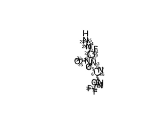 O=c1n(Cc2ccc(-c3nnc(C(F)F)o3)cn2)c2cc(F)c(N3CCNCC3)cc2n1C1COC1